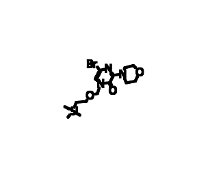 C[Si](C)(C)CCOCn1cc(Br)nc(N2CCOCC2)c1=O